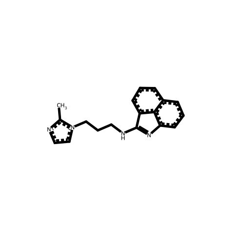 Cc1nccn1CCCNC1=Nc2cccc3cccc1c23